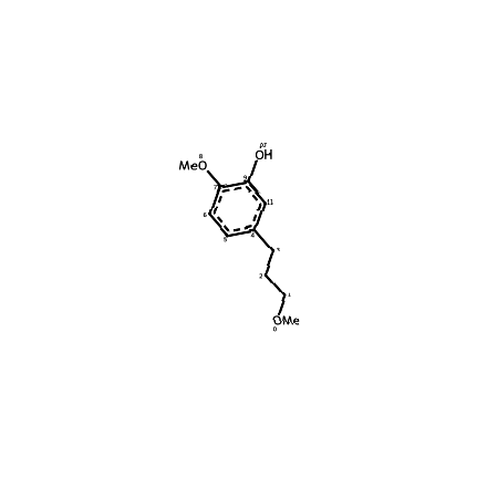 COCCCc1ccc(OC)c(O)c1